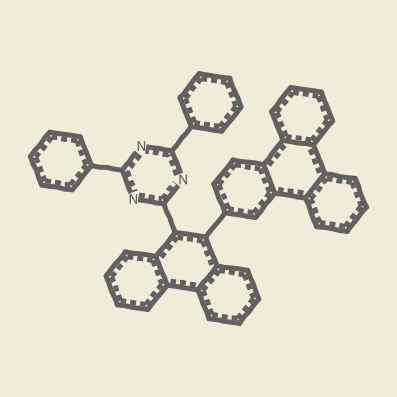 c1ccc(-c2nc(-c3ccccc3)nc(-c3c(-c4ccc5c6ccccc6c6ccccc6c5c4)c4ccccc4c4ccccc34)n2)cc1